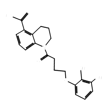 Cc1cccc(OCCCC(=O)N2CCCc3c(C(=O)O)cccc32)c1C